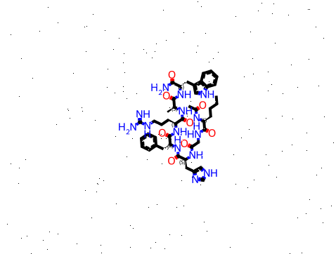 CCCC[C@H](NC(C)=O)C(=O)NCC(=O)N[C@@H](Cc1c[nH]cn1)C(=O)N[C@H](Cc1ccccc1)C(=O)N[C@@H](CCCNC(=N)N)C(=O)N[C@@H](C)C(=O)N[C@@H](Cc1c[nH]c2ccccc12)C(N)=O